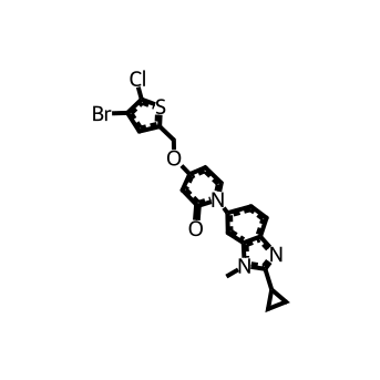 Cn1c(C2CC2)nc2ccc(-n3ccc(OCc4cc(Br)c(Cl)s4)cc3=O)cc21